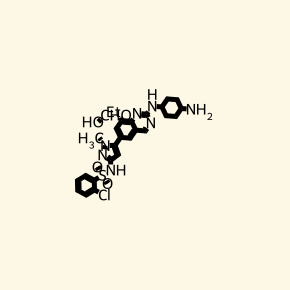 CCc1cc(-c2cc(NS(=O)(=O)c3ccccc3Cl)nn2C)cc2cnc(NC3CCC(N)CC3)nc12.O=CO